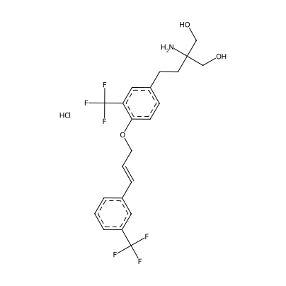 Cl.NC(CO)(CO)CCc1ccc(OC/C=C/c2cccc(C(F)(F)F)c2)c(C(F)(F)F)c1